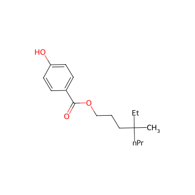 CCCC(C)(CC)CCCOC(=O)c1ccc(O)cc1